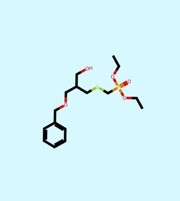 CCOP(=O)(CSCC(CO)COCc1ccccc1)OCC